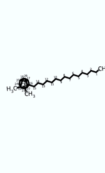 CCCCCCCCCCCCCCCC[C]12[CH]3[CH]4[C]5(C)[C]1(C)[Fe]43521678[CH]2[CH]1[CH]6[CH]7[CH]28